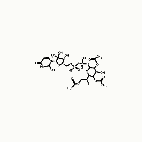 CC(=O)OC[C@H](F)C1OC(OP(=O)(O)OP(=O)(S)OC[C@H]2O[C@@H](N3C=CC(=O)NC3O)[C@](C)(O)[C@@H]2O)C(OC(C)=O)C(O)C1OC(C)=O